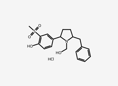 CS(=O)(=O)c1cc(C2CCC(Cc3ccccc3)N2CO)ccc1O.Cl